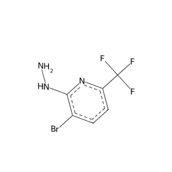 NNc1nc(C(F)(F)F)ccc1Br